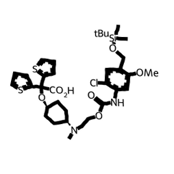 COc1cc(NC(=O)OCCN(C)[C@H]2CC[C@H](OC(C(=O)O)(c3cccs3)c3cccs3)CC2)c(Cl)cc1CO[Si](C)(C)C(C)(C)C